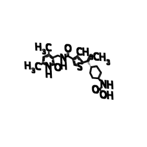 CC=C(c1scc(C(=O)NCc2c(C)cc(C)[nH]c2=O)c1C)[C@H]1CC[C@H](NC(=O)O)CC1